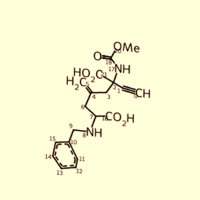 C#CC(CC(=C)CC(NCc1ccccc1)C(=O)O)(NC(=O)OC)C(=O)O